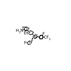 CCc1c(N)ncnc1N1CCC(c2nc(-c3ccc(C(F)(F)F)c(F)c3)cn2CCN2CCC(F)C2)CC1